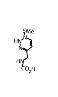 CSN1C=CC(CNC(=O)O)=NN1